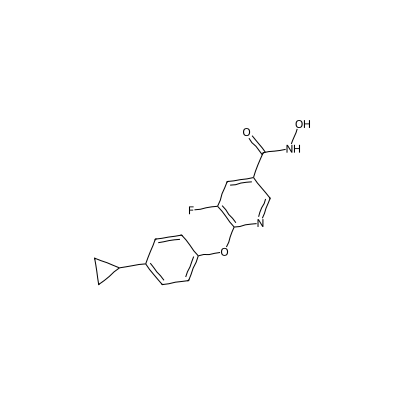 O=C(NO)c1cnc(Oc2ccc(C3CC3)cc2)c(F)c1